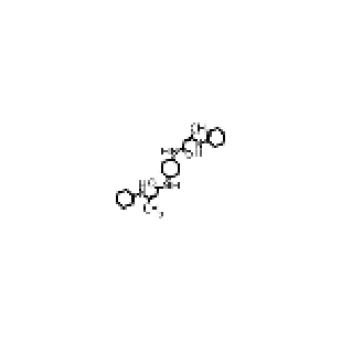 C/C(=C/C(=O)NC1CCC(NC(=O)/C=C(/C)NC2CCCCC2)CC1)NC1CCCCC1